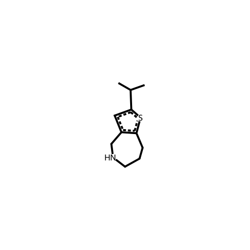 CC(C)c1cc2c(s1)CCCNC2